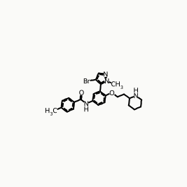 Cc1ccc(C(=O)Nc2ccc(OCCC3CCCCN3)c(-c3c(Br)cnn3C)c2)cc1